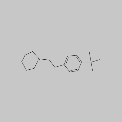 CC(C)(C)c1ccc(CCN2CCCCC2)cc1